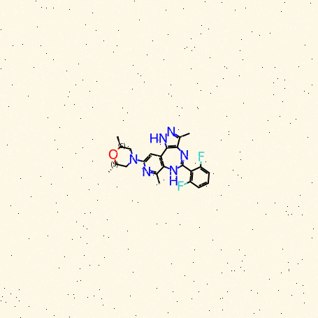 Cc1n[nH]c2c1N=C(c1c(F)cccc1F)Nc1c-2cc(N2C[C@H](C)O[C@@H](C)C2)nc1C